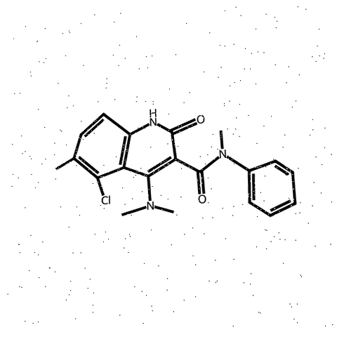 Cc1ccc2[nH]c(=O)c(C(=O)N(C)c3ccccc3)c(N(C)C)c2c1Cl